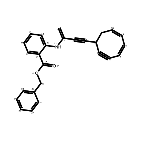 C=C(C#CC1C#C/C=C\C=C/C1)Nc1ccccc1C(=O)OCc1ccccc1